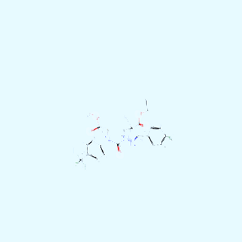 CCOC(=O)C1(C)CN(C(=O)N(SC(=O)OC)c2ccc(C(F)(F)F)cc2)N=C1c1ccc(Cl)cc1